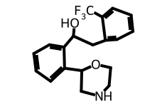 OC(Cc1ccccc1C(F)(F)F)c1ccccc1C1CNCCO1